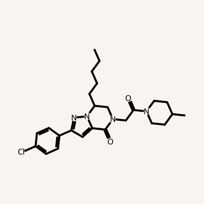 CCCCCC1CN(CC(=O)N2CCC(C)CC2)C(=O)c2cc(-c3ccc(Cl)cc3)nn21